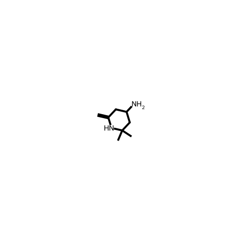 C=C1CC(N)CC(C)(C)N1